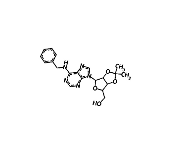 CC1(C)OC2C(CO)OC(n3cnc4c(NCc5ccccc5)ncnc43)C2O1